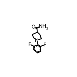 NC(=O)C1CCN(c2c(F)cccc2F)CC1